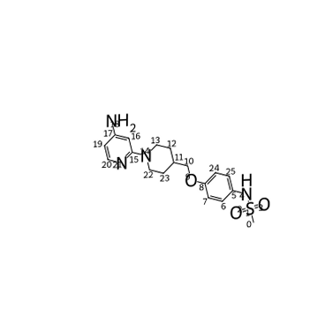 CS(=O)(=O)Nc1ccc(OCC2CCN(c3cc(N)ccn3)CC2)cc1